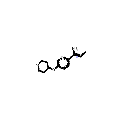 C/C=C(\N)c1ccc(OC2CCOCC2)cn1